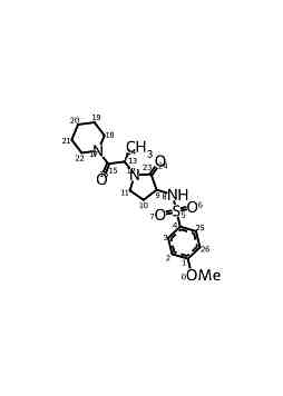 COc1ccc(S(=O)(=O)NC2CCN([C@H](C)C(=O)N3CCCCC3)C2=O)cc1